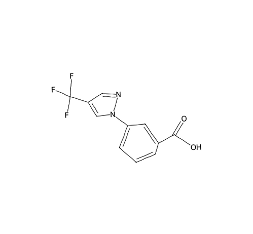 O=C(O)c1cccc(-n2cc(C(F)(F)F)cn2)c1